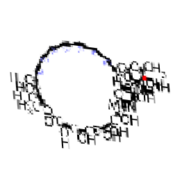 CNCC(=O)N[C@@H]1C[C@@H](O[C@H]2/C=C/C=C/C=C/C=C/C=C/C=C/C=C/[C@H](C)[C@@H](O)[C@@H](C)[C@H](C)OC(=O)C[C@H](O)C[C@H](O)CC[C@@H](O)[C@H](O)C[C@H](O)CC3(O)C[C@H](O)[C@@H](C(=O)N4CCNCC4)[C@H](C2)O3)O[C@@H](C)[C@H]1O